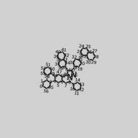 c1ccc(-c2cc3cc(-c4ccccc4)n4nc(-c5ccc(-c6cccc7ccccc67)cc5)c(-c5ccc6ccccc6c5)c4c3cc2-c2ccccc2)cc1